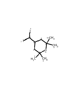 CC1(C)CC(C(I)I)CC(C)(C)O1